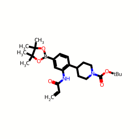 C=CC(=O)Nc1cc(B2OC(C)(C)C(C)(C)O2)ccc1C1CCN(C(=O)OC(C)(C)C)CC1